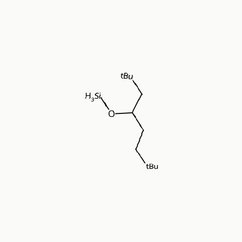 CC(C)(C)CCC(CC(C)(C)C)O[SiH3]